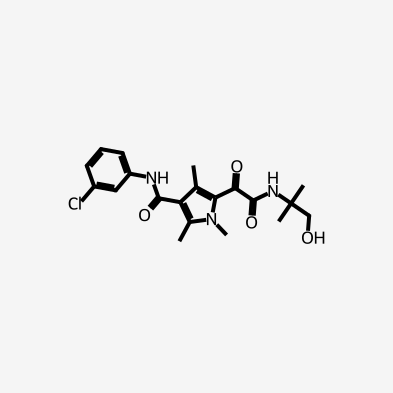 Cc1c(C(=O)Nc2cccc(Cl)c2)c(C)n(C)c1C(=O)C(=O)NC(C)(C)CO